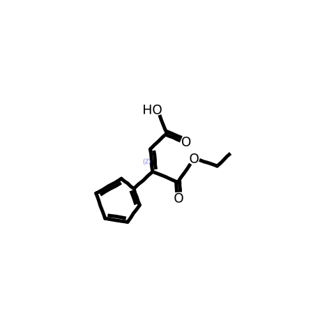 CCOC(=O)/C(=C\C(=O)O)c1ccccc1